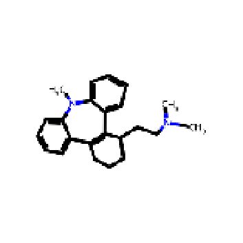 CN(C)CCC1CCCC2=C1c1ccccc1N(C)c1ccccc12